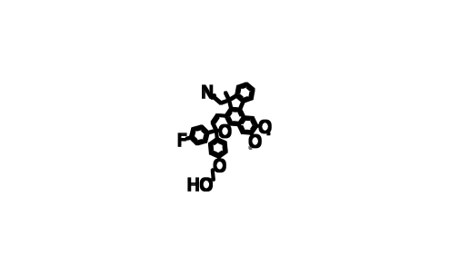 COc1cc2c3c(c4c(c2cc1OC)-c1ccccc1C4(C)CC#N)C=CC(c1ccc(F)cc1)(c1ccc(OCCO)cc1)O3